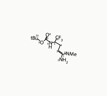 CN/C(N)=C\CC(NC(=O)OC(C)(C)C)C(F)(F)F